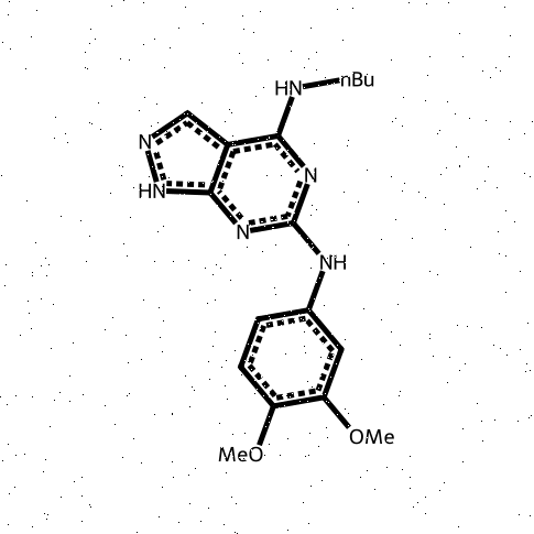 CCCCNc1nc(Nc2ccc(OC)c(OC)c2)nc2[nH]ncc12